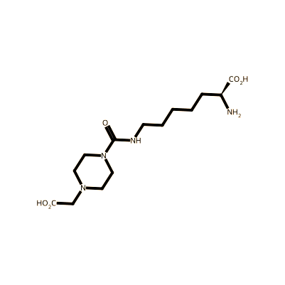 N[C@@H](CCCCCNC(=O)N1CCN(CC(=O)O)CC1)C(=O)O